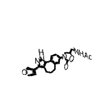 CC(=O)NCC1CN(c2ccc3c(c2)CCCc2c(-c4ccoc4)n[nH]c2-3)C(=O)O1